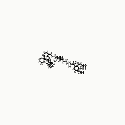 O=C(CCCc1cccc(C2(C(=O)O[C@H]3CN4CCC3CC4)CCCCC2)c1)NCCCCCNCC(O)c1ccc(O)c2[nH]c(=O)ccc12